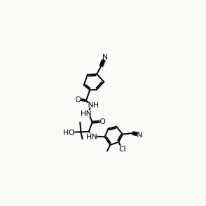 Cc1c(N[C@@H](C(=O)NNC(=O)c2ccc(C#N)cc2)C(C)(C)O)ccc(C#N)c1Cl